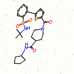 CC(C)(C)NS(=O)(=O)c1ccccc1-c1ccc(C(=O)N2CCC(C(=O)NC3CCCC3)CC2)s1